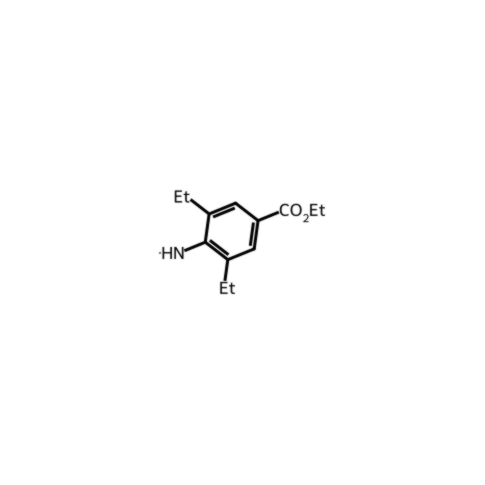 CCOC(=O)c1cc(CC)c([NH])c(CC)c1